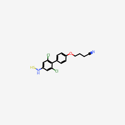 N#CCCCOc1ccc(-c2c(Cl)cc(NS)cc2Cl)cc1